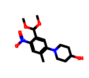 COC(OC)c1cc(N2CCC(O)CC2)c(C)cc1[N+](=O)[O-]